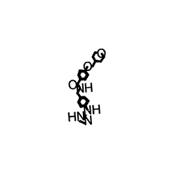 O=C(NCc1ccc(NC2=NCCN2)cc1)c1ccc(OCC2CCOCC2)cc1